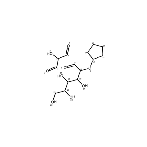 O=CC(O)C=O.O=CC(ON1CCCC1)C(O)C(O)C(O)CO